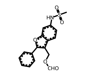 CS(=O)(=O)Nc1ccc2c(COC=O)c(-c3ccccc3)oc2c1